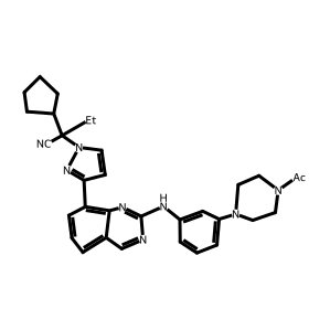 CCC(C#N)(C1CCCC1)n1ccc(-c2cccc3cnc(Nc4cccc(N5CCN(C(C)=O)CC5)c4)nc23)n1